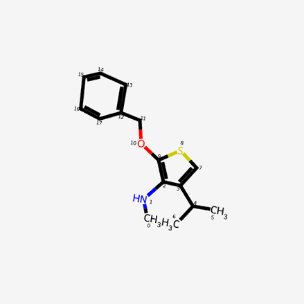 CNc1c(C(C)C)csc1OCc1ccccc1